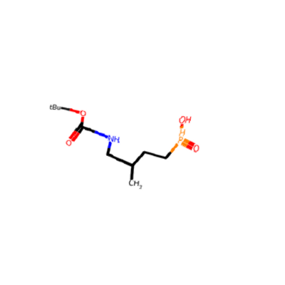 CC(CC[PH](=O)O)CNC(=O)OC(C)(C)C